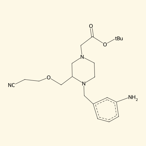 CC(C)(C)OC(=O)CN1CCN(Cc2cccc(N)c2)C(COCCC#N)C1